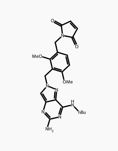 CCCCNc1nc(N)nc2cn(Cc3c(OC)ccc(CN4C(=O)C=CC4=O)c3OC)nc12